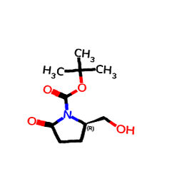 CC(C)(C)OC(=O)N1C(=O)CC[C@@H]1CO